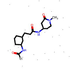 CCC(=O)NC1CCCC(CCC(=O)NC2CCN(C)C(=O)C2)C1